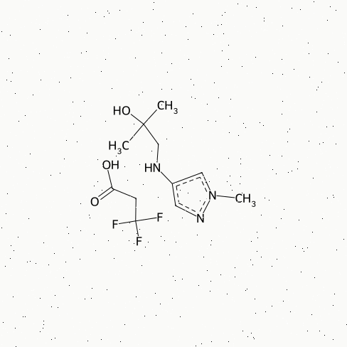 Cn1cc(NCC(C)(C)O)cn1.O=C(O)CC(F)(F)F